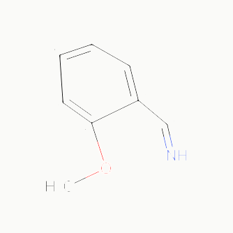 COc1ccccc1[C]=N